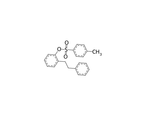 Cc1ccc(S(=O)(=O)Oc2ccccc2CCc2ccccc2)cc1